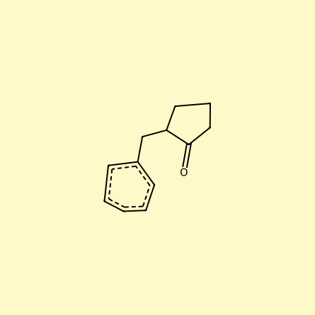 O=C1CCCC1Cc1ccccc1